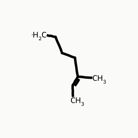 [CH2]CCCC(C)=CC